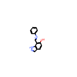 Oc1ccc2cn[nH]c2c1/C=N/c1ccccc1